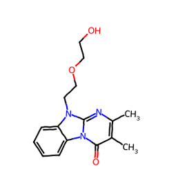 Cc1nc2n(CCOCCO)c3ccccc3n2c(=O)c1C